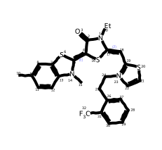 CCn1c(=O)/c(=C2\Sc3cc(C)ccc3N2C)s/c1=C\c1scc[n+]1CCc1ccccc1C(F)(F)F